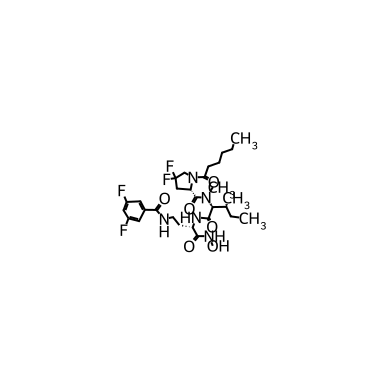 CCCCCC(=O)N1CC(F)(F)C[C@H]1C(=O)N(C)[C@H](C(=O)N[C@@H](CCNC(=O)c1cc(F)cc(F)c1)C(=O)NO)[C@@H](C)CC